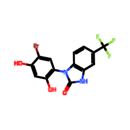 O=c1[nH]c2cc(C(F)(F)F)ccc2n1-c1cc(Br)c(O)cc1O